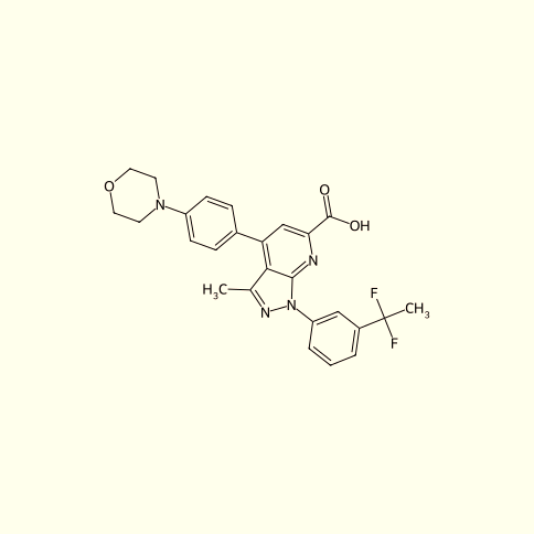 Cc1nn(-c2cccc(C(C)(F)F)c2)c2nc(C(=O)O)cc(-c3ccc(N4CCOCC4)cc3)c12